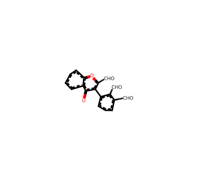 O=Cc1cccc(-c2c(C=O)oc3ccccc3c2=O)c1C=O